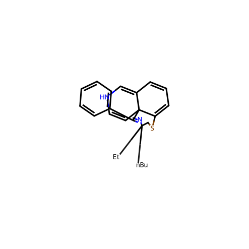 CCCCC1(CC)CSC2=CC=CC3=CNC=CC32C(c2ccccc2)=N1